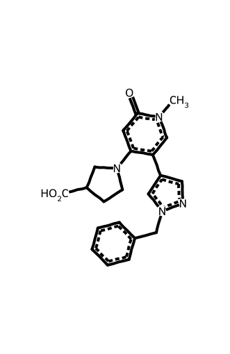 Cn1cc(-c2cnn(Cc3ccccc3)c2)c(N2CCC(C(=O)O)C2)cc1=O